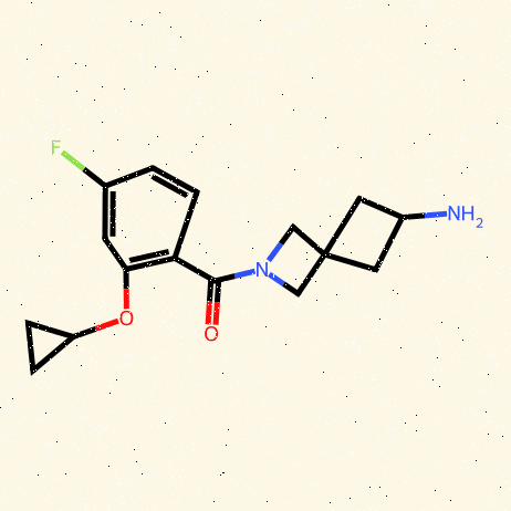 NC1CC2(C1)CN(C(=O)c1ccc(F)cc1OC1CC1)C2